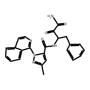 Cc1cc(C(=O)NC(Cc2ccccc2)C(=O)C(N)=O)n(-c2nccc3ccccc23)n1